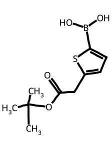 CC(C)(C)OC(=O)Cc1ccc(B(O)O)s1